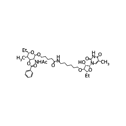 CC[C@H]1O[C@@H](n2cc(C)c(=O)[nH]c2=O)[C@@H](O)C1OCCCCCCNC(=O)CCCCO[C@@H]1O[C@H](CC)[C@H](C)[C@H](OC(=O)c2ccccc2)[C@H]1NC(C)=O